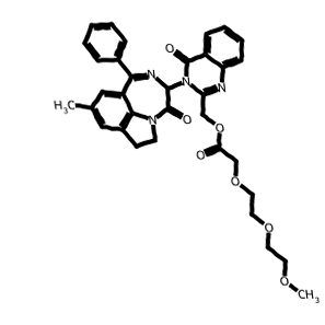 COCCOCCOCC(=O)OCc1nc2ccccc2c(=O)n1C1N=C(c2ccccc2)c2cc(C)cc3c2N(CC3)C1=O